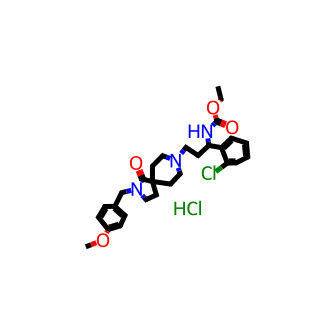 CCOC(=O)NC(CCN1CCC2(CC1)CCN(Cc1ccc(OC)cc1)C2=O)c1ccccc1Cl.Cl